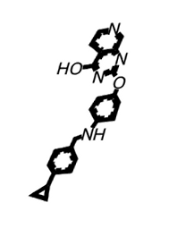 Oc1nc(Oc2ccc(NCc3ccc(C4CC4)cc3)cc2)nc2cnccc12